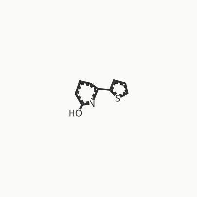 Oc1cc[c]c(-c2cccs2)n1